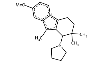 COc1ccn2c3c(c(C)c2c1)C(N1CCCC1)C(C)(C)CC3